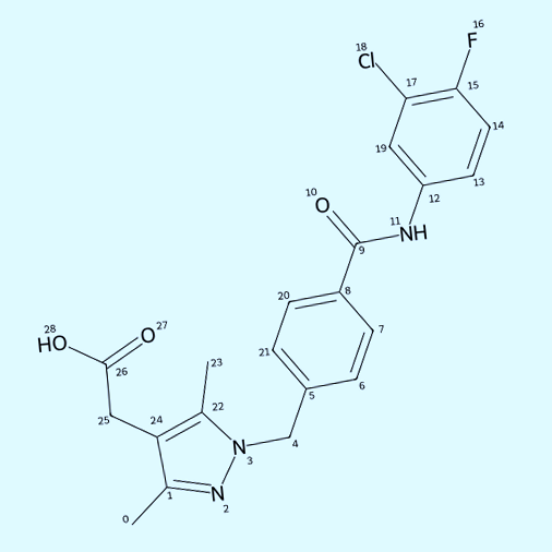 Cc1nn(Cc2ccc(C(=O)Nc3ccc(F)c(Cl)c3)cc2)c(C)c1CC(=O)O